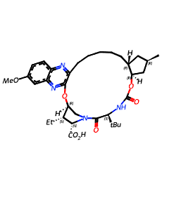 CC[C@@H]1[C@@H]2CN(C(=O)[C@H](C(C)(C)C)NC(=O)O[C@@H]3C[C@H](C)C[C@H]3CCCCCc3nc4ccc(OC)cc4nc3O2)[C@@H]1C(=O)O